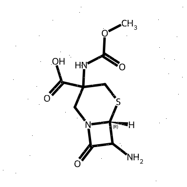 COC(=O)NC1(C(=O)O)CS[C@@H]2C(N)C(=O)N2C1